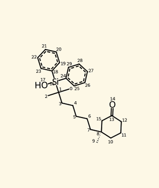 CC(C)(CCCCC[C@]1(C)CCCC(=O)C1)[Si](O)(c1ccccc1)c1ccccc1